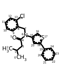 CC(C)CC(=O)N(Cc1ccccc1Cl)c1csc(-c2ccccc2)c1